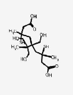 CC(S)(CC(=O)O)CC(CO)(CC(C)(S)CC(=O)O)C(C)(CO)CO